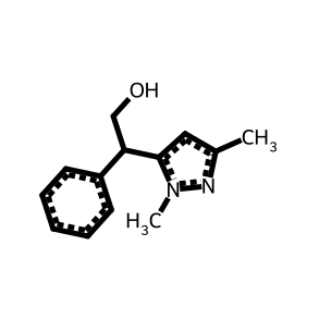 Cc1cc(C(CO)c2ccccc2)n(C)n1